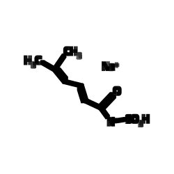 CC(C)=CC=CC(=O)[N-]S(=O)(=O)O.[Na+]